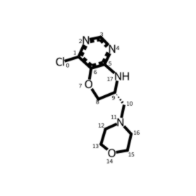 Clc1ncnc2c1OC[C@@H](CN1CCOCC1)N2